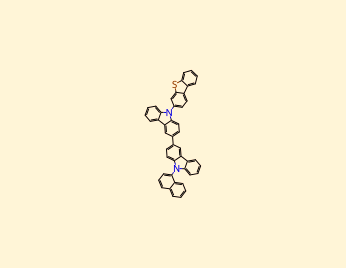 c1ccc2c(-n3c4ccccc4c4cc(-c5ccc6c(c5)c5ccccc5n6-c5ccc6c(c5)sc5ccccc56)ccc43)cccc2c1